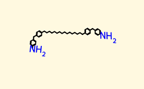 Nc1ccc(Cc2ccc(CCCCCCCCCCCCCCCCc3ccc(Cc4ccc(N)cc4)cc3)cc2)cc1